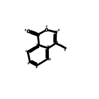 Cc1noc(=O)c2ccccc12